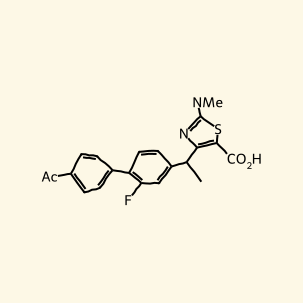 CNc1nc(C(C)c2ccc(-c3ccc(C(C)=O)cc3)c(F)c2)c(C(=O)O)s1